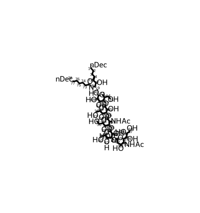 CCCCCCCCCCCCC/C=C/[C@@H](O)[C@H](CO[C@@H]1OC(CO)[C@@H](O[C@@H]2OC(CO)[C@H](O)[C@H](O[C@@H]3OC(CO)[C@@H](O)[C@H](O[C@@H]4OC(CO)[C@H](O)[C@H](O[C@]5(C(=O)O)CC(O)[C@@H](NC(C)=O)C([C@H](O)[C@H](O)CO)O5)C4O)C3NC(C)=O)C2O)[C@H](O)C1O)NC(=O)CCCCCCCCCCCCCCC